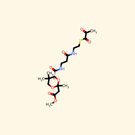 COC(=O)CC1(C)OCC(C)(C)[C@H](C(=O)NCCC(=O)NCCSC(=O)C(C)=O)O1